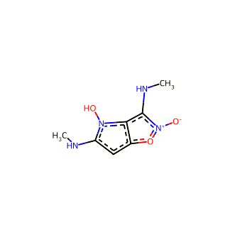 CNc1cc2o[n+]([O-])c(NC)c2n1O